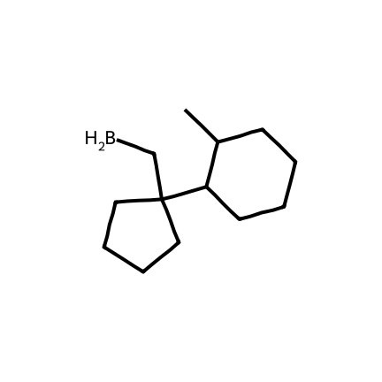 BCC1(C2CCCCC2C)CCCC1